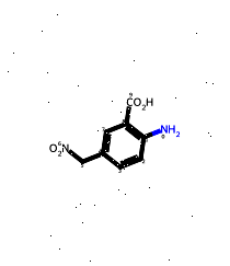 Nc1ccc(C[N+](=O)[O-])cc1C(=O)O